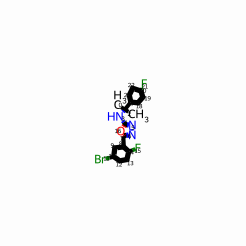 CC(C)(Nc1nnc(-c2cc(Br)ccc2F)o1)c1ccc(F)cc1